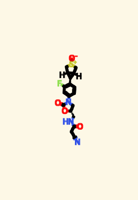 N#CCC(=O)NC[C@H]1CN(c2ccc([C@H]3[C@@H]4C[S+]([O-])C[C@@H]43)c(F)c2)C(=O)O1